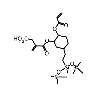 C=CC(=O)OC1CCC(CC[Si](C)(O[Si](C)(C)C)O[Si](C)(C)C)CC1OC(=O)C(=C)CC(=O)O